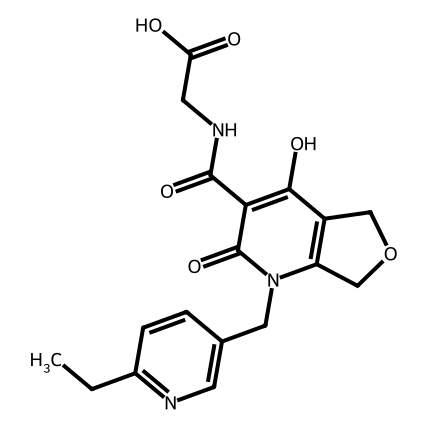 CCc1ccc(Cn2c3c(c(O)c(C(=O)NCC(=O)O)c2=O)COC3)cn1